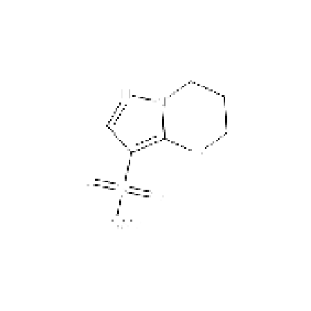 CNS(=O)(=O)c1cnn2c1OCCC2